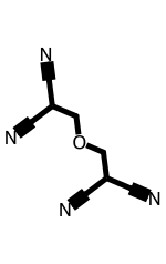 N#CC(C#N)COCC(C#N)C#N